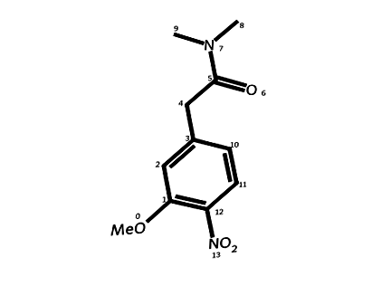 COc1cc(CC(=O)N(C)C)ccc1[N+](=O)[O-]